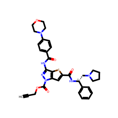 C#CCOC(=O)n1nc(NC(=O)c2ccc(N3CCOCC3)cc2)c2sc(C(=O)N[C@H](CN3CCCC3)c3ccccc3)cc21